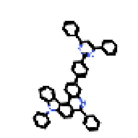 c1ccc(-c2cc(-c3ccccc3)nc(-c3ccc(-c4ccc5c(c4)nc(-c4ccccc4)c4ccc6c(c7ccccc7n6-c6ccccc6)c45)cc3)n2)cc1